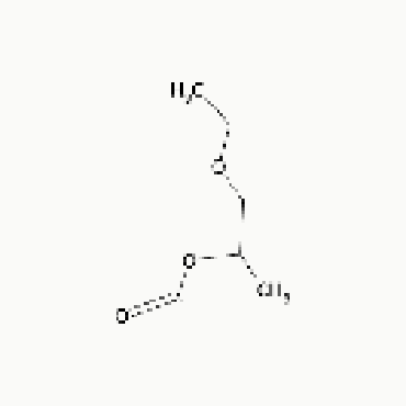 CCOCC(C)O[C]=O